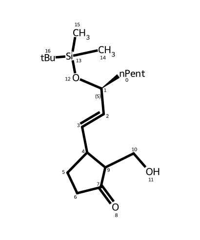 CCCCC[C@@H](C=CC1CCC(=O)C1CO)O[Si](C)(C)C(C)(C)C